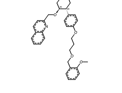 COc1ccccc1COCCCOc1ccc([C@H]2CCNC[C@@H]2OCc2ccc3ccccc3n2)cc1